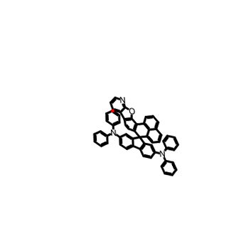 c1ccc(N(c2ccccc2)c2ccc3c(c2)C2(c4cc(N(c5ccccc5)c5ccccc5)ccc4-3)c3ccc4c(oc5ncccc54)c3-c3cccc4cccc2c34)cc1